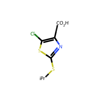 CC(C)Sc1nc(C(=O)O)c(Cl)s1